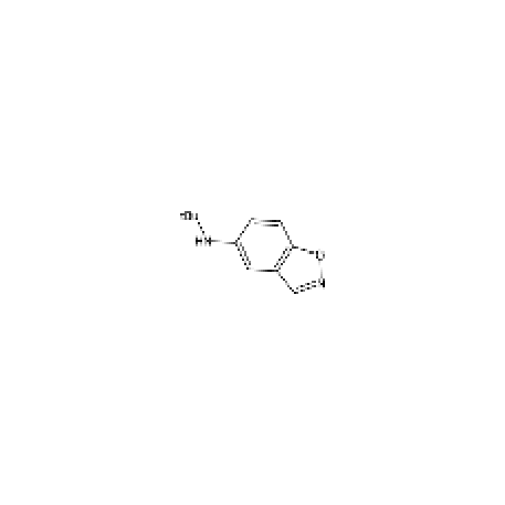 CC(C)(C)Nc1ccc2oncc2c1